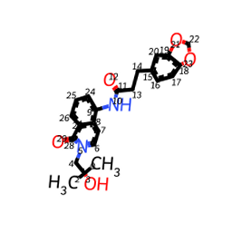 CC(C)(O)Cn1ccc2c(NC(=O)CCc3ccc4c(c3)OCO4)cccc2c1=O